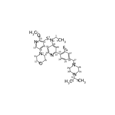 CCN(Sc1cc(N2CCOCC2)cnc1OC)c1ccnc(-c2ccc(CN3CCN(C(C)C)CC3)cc2F)c1